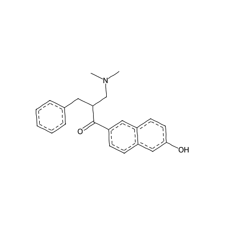 CN(C)CC(Cc1ccccc1)C(=O)c1ccc2cc(O)ccc2c1